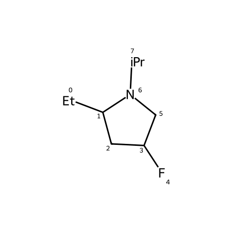 CCC1CC(F)CN1C(C)C